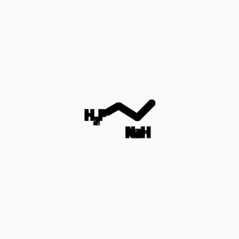 CCCP.[NaH]